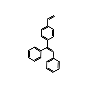 C=Cc1ccc(C(=Nc2ccccc2)c2ccccc2)cc1